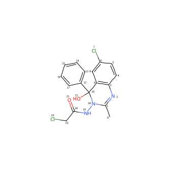 CC1=Nc2ccc(Cl)cc2C(O)(c2ccccc2)N1NC(=O)CCl